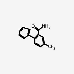 NC(=O)c1cc(C(F)(F)F)ccc1-c1ccccc1